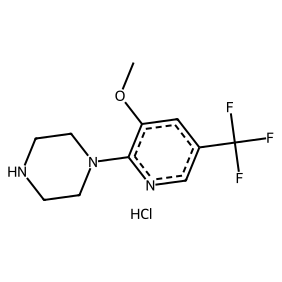 COc1cc(C(F)(F)F)cnc1N1CCNCC1.Cl